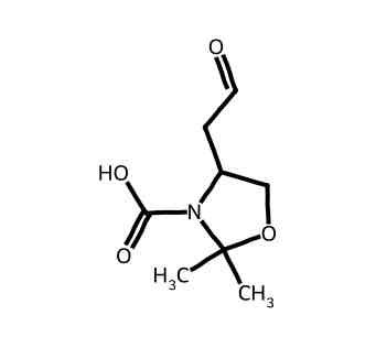 CC1(C)OCC(CC=O)N1C(=O)O